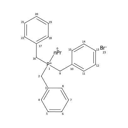 CCC[P+](Cc1ccccc1)(Cc1ccccc1)Cc1ccccc1.[Br-]